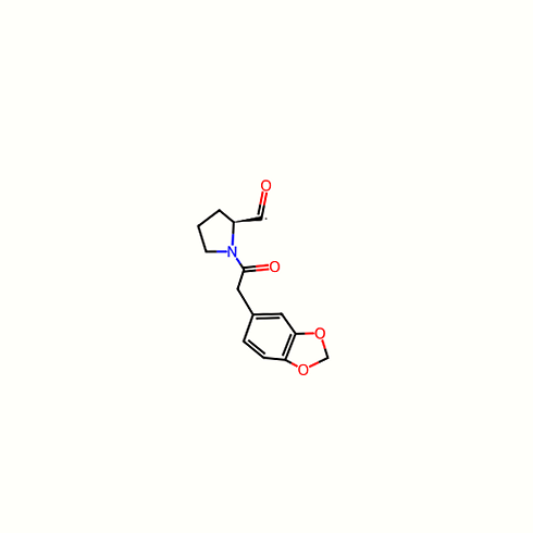 O=[C][C@@H]1CCCN1C(=O)Cc1ccc2c(c1)OCO2